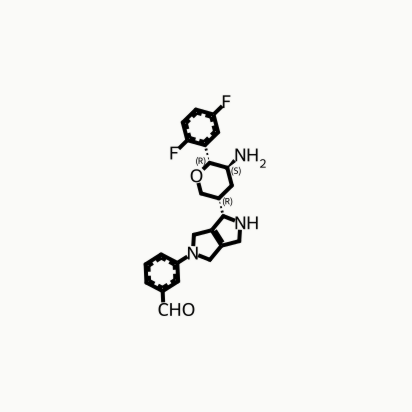 N[C@H]1C[C@H](C2NCC3=C2CN(c2cccc(C=O)c2)C3)CO[C@@H]1c1cc(F)ccc1F